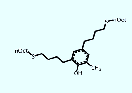 CCCCCCCCSCCCCc1cc(C)c(O)c(CCCCSCCCCCCCC)c1